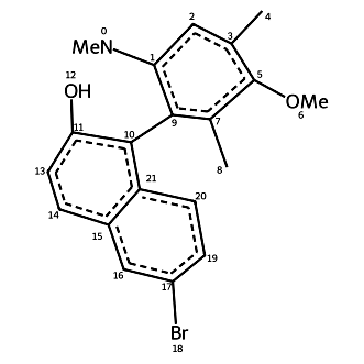 CNc1cc(C)c(OC)c(C)c1-c1c(O)ccc2cc(Br)ccc12